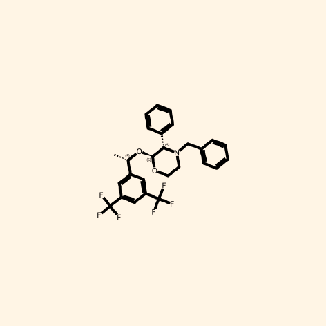 C[C@H](O[C@@H]1OCCN(Cc2ccccc2)[C@H]1c1ccccc1)c1cc(C(F)(F)F)cc(C(F)(F)F)c1